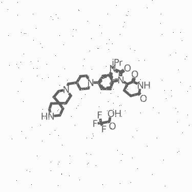 CC(C)n1c(=O)n(C2CCC(=O)NC2=O)c2ccc(N3CCC(CN4CCC5(CCNCC5)CC4)CC3)cc21.O=C(O)C(F)(F)F